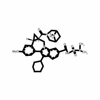 COc1ccc2c(c1)[C@@H]1C[C@]1(C(=O)N1CC3CC(C1)N3C)Cn1c-2c(C2CCCCC2)c2ccc(C(=O)NS(=O)(=O)N(C)C)cc21